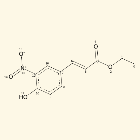 CCOC(=O)C=Cc1ccc(O)c([N+](=O)[O-])c1